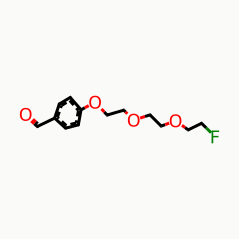 O=Cc1ccc(OCCOCCOCCF)cc1